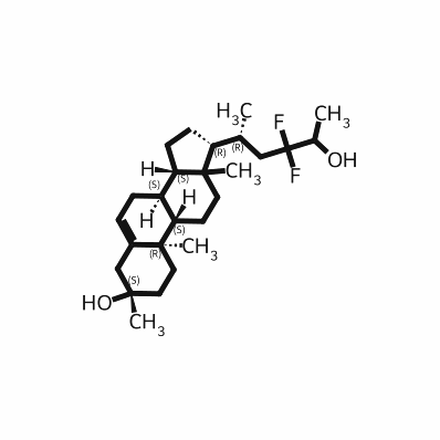 CC(O)C(F)(F)C[C@@H](C)[C@H]1CC[C@H]2[C@@H]3CC=C4C[C@@](C)(O)CC[C@]4(C)[C@H]3CCC12C